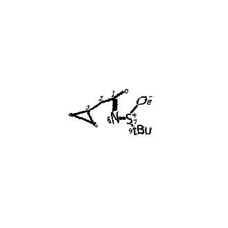 CC(CC1CC1)=N[S+]([O-])C(C)(C)C